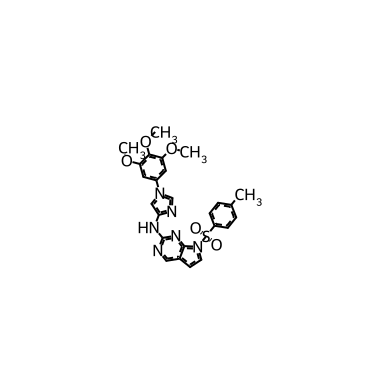 COc1cc(-n2cnc(Nc3ncc4ccn(S(=O)(=O)c5ccc(C)cc5)c4n3)c2)cc(OC)c1OC